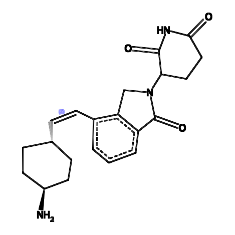 N[C@H]1CC[C@H](/C=C\c2cccc3c2CN(C2CCC(=O)NC2=O)C3=O)CC1